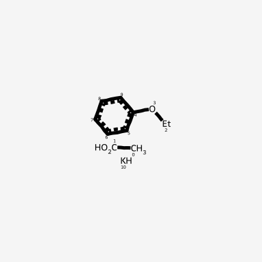 CC(=O)O.CCOc1ccccc1.[KH]